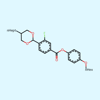 CCCCCCCC1COC(c2ccc(C(=O)Oc3ccc(OCCCCCC)cc3)cc2F)OC1